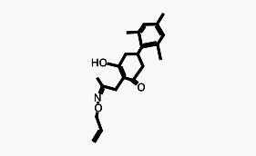 C=CCO/N=C(/C)CC1=C(O)CC(c2c(C)cc(C)cc2C)CC1=O